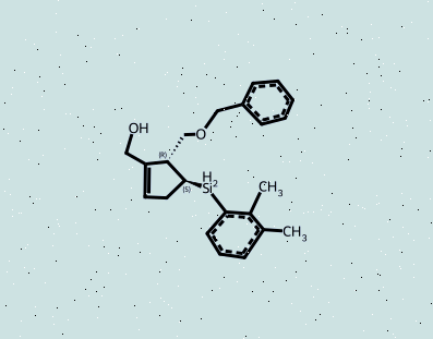 Cc1cccc([SiH2][C@H]2CC=C(CO)[C@@H]2COCc2ccccc2)c1C